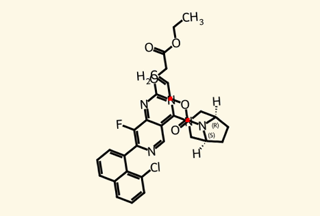 C=CCOC(=O)N1[C@@H]2CC[C@H]1CN(c1nc(OCC(=O)OCC)nc3c(F)c(-c4cccc5cccc(Cl)c45)ncc13)C2